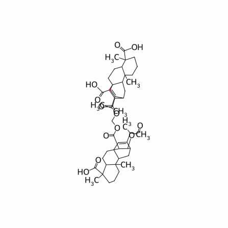 CC(C)C1=CC23CCC4C(C)(C(=O)O)CCCC4(C)C2CC1C(OC=O)C3C(=O)OCOC(=O)C1C2CC3C4(C)CCCC(C)(C(=O)O)C4CCC3(C=C2C(C)C)C1C(=O)O